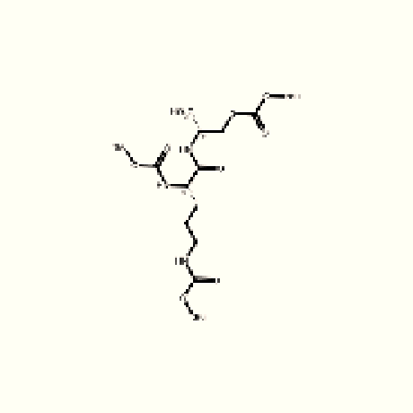 CC(C)(C)OC(=O)NCCC[C@H](NC(=O)OC(C)(C)C)C(=O)N[C@@H](CSC(=O)OC(C)(C)C)C(=O)O